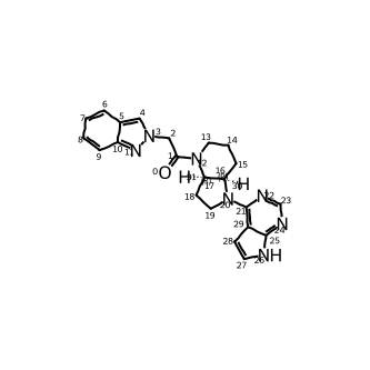 O=C(Cn1cc2ccccc2n1)N1CCC[C@@H]2[C@H]1CCN2c1ncnc2[nH]ccc12